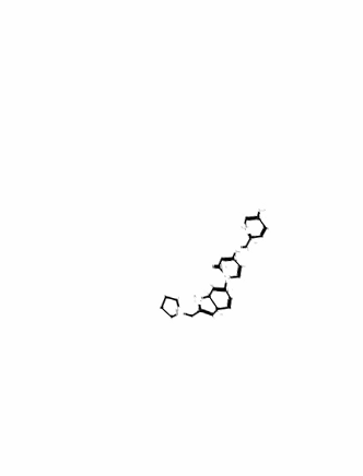 CN1C(CN2CCCC2)=CC2C=CC(n3ccc(OCc4ccc(Cl)cn4)cc3=O)=CC21